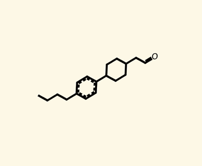 CCCCc1ccc(C2CCC(CC=O)CC2)cc1